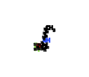 CCCCCCNCc1ccccc1OC(F)(F)F